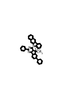 CC1(C)c2cc(C3C=CC=CC3)ccc2C2N=C(c3ccccc3)N=C(n3c4ccccc4c4cc5ccccc5cc43)C21